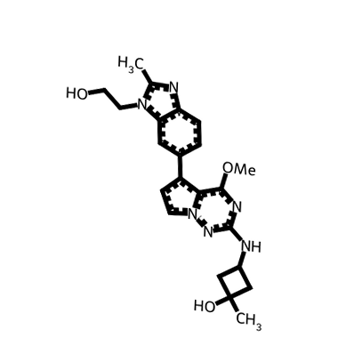 COc1nc(NC2CC(C)(O)C2)nn2ccc(-c3ccc4nc(C)n(CCO)c4c3)c12